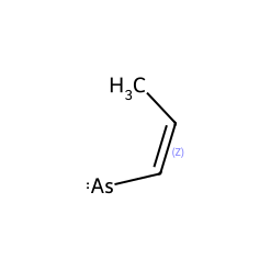 C/C=C\[As]